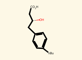 CCCCc1ccc(C[C@@H](O)CC(=O)O)cc1